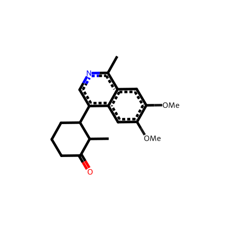 COc1cc2c(C3CCCC(=O)C3C)cnc(C)c2cc1OC